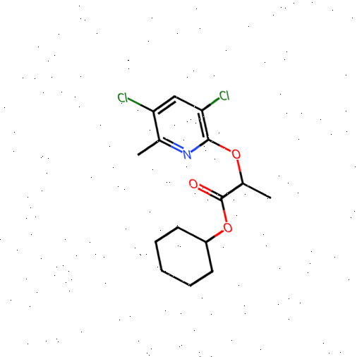 Cc1nc(OC(C)C(=O)OC2CCCCC2)c(Cl)cc1Cl